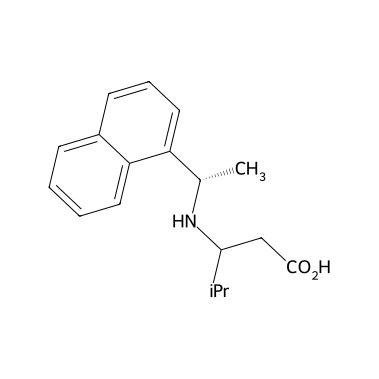 CC(C)C(CC(=O)O)N[C@@H](C)c1cccc2ccccc12